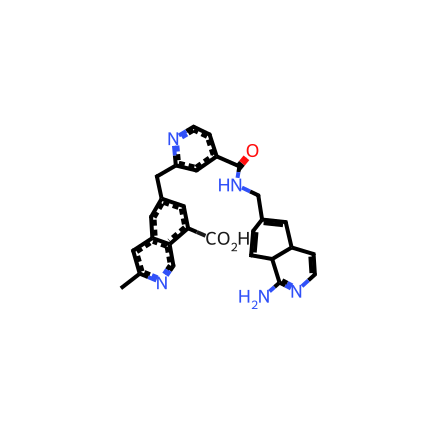 Cc1cc2cc(Cc3cc(C(=O)NCC4=CC5C=CN=C(N)C5C=C4)ccn3)cc(C(=O)O)c2cn1